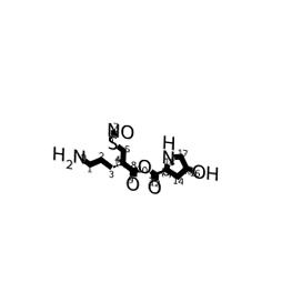 NCCC[C@H](CSN=O)C(=O)OC(=O)[C@@H]1CC(O)CN1